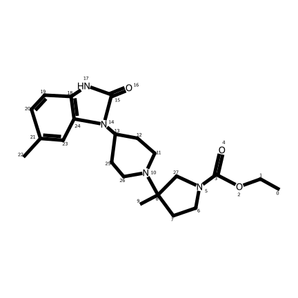 CCOC(=O)N1CCC(C)(N2CCC(n3c(=O)[nH]c4ccc(C)cc43)CC2)C1